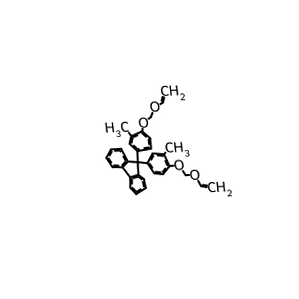 C=COCOc1ccc(C2(c3ccc(OCOC=C)c(C)c3)c3ccccc3-c3ccccc32)cc1C